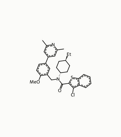 CC[C@H]1CC[C@H](N(Cc2cc(-c3cc(C)nc(C)c3)ccc2OC)C(=O)c2sc3ccccc3c2Cl)CC1